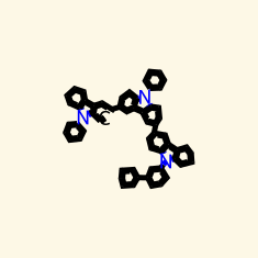 c1ccc(-c2cccc(-n3c4ccccc4c4cc(-c5ccc6c(c5)c5cc(-c7ccc8c(c7)c7ccccc7n8-c7ccccc7)ccc5n6-c5ccccc5)ccc43)c2)cc1